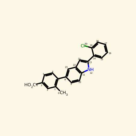 Cc1cc(C(=O)O)ccc1-c1ccc2[nH]c(-c3ccccc3Cl)cc2c1